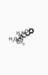 CN(C)c1nc(C[C@@H](Cc2ccccc2)C(N)=O)cs1